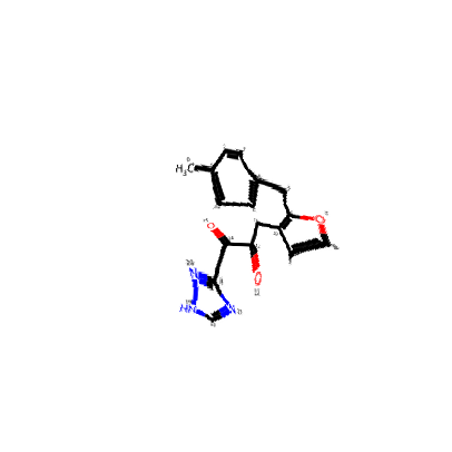 Cc1ccc(Cc2occc2CC(=O)C(=O)c2nc[nH]n2)cc1